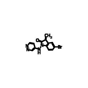 C=C1C(=O)N(Nc2ccnnc2)c2ccc(Br)cc21